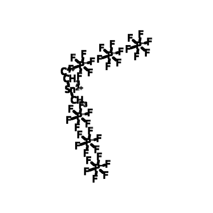 F[P-](F)(F)(F)(F)F.F[P-](F)(F)(F)(F)F.F[P-](F)(F)(F)(F)F.F[P-](F)(F)(F)(F)F.F[P-](F)(F)(F)(F)F.F[P-](F)(F)(F)(F)F.[C+4].[CH3][Sn+2][CH3]